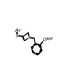 COc1ccccc1CN1CC(SC(C)=O)C1